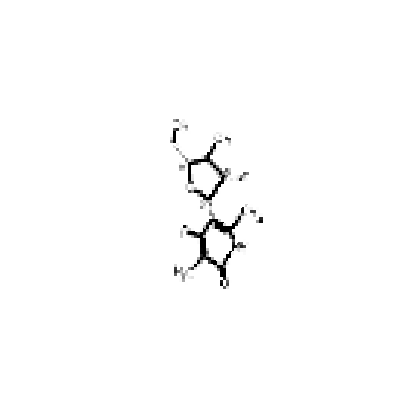 Cc1[nH]c(=O)c(C)c(F)c1[C@@H]1O[C@H](CO)C(O)[C@@H]1F